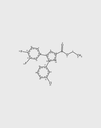 CCOC(=O)c1cc(-c2ccc(F)c(F)c2)n(-c2cccc(Cl)c2)n1